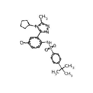 Cc1nnc(-c2cc(Cl)ccc2NS(=O)(=O)c2ccc(C(C)(C)C)cc2)n1C1CCCC1